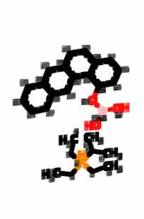 CC[PH](CC)(CC)C(C)C.OB(O)Oc1cccc2ccc3cc4ccccc4cc3c12